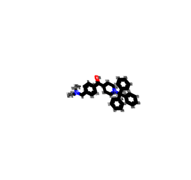 CC(C)N(Cc1ccc(C(=O)C2CCN(C(c3ccccc3)(c3ccccc3)c3ccccc3)CC2)cc1)C(C)C